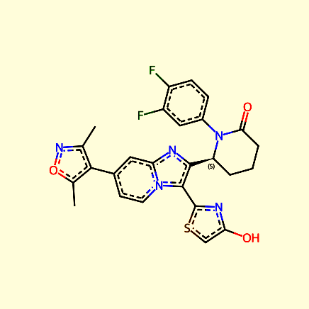 Cc1noc(C)c1-c1ccn2c(-c3nc(O)cs3)c([C@@H]3CCCC(=O)N3c3ccc(F)c(F)c3)nc2c1